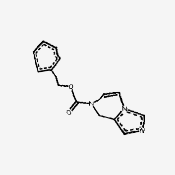 O=C(OCc1ccccc1)N1C=Cn2cncc2C1